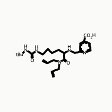 C=CCN(CC=C)C(=O)C(CCCCNC(=O)NC(C)(C)C)NCc1cc(C(=O)O)ccn1